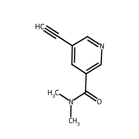 C#Cc1cncc(C(=O)N(C)C)c1